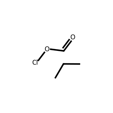 CCC.O=COCl